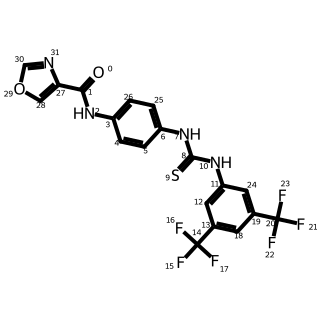 O=C(Nc1ccc(NC(=S)Nc2cc(C(F)(F)F)cc(C(F)(F)F)c2)cc1)c1cocn1